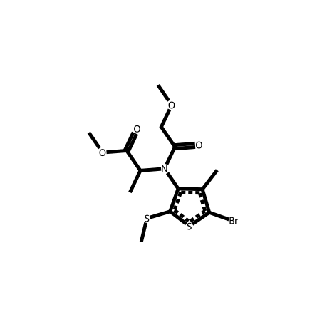 COCC(=O)N(c1c(SC)sc(Br)c1C)C(C)C(=O)OC